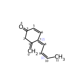 C=C1CC(=O)C=C/C1=C/C=C\C